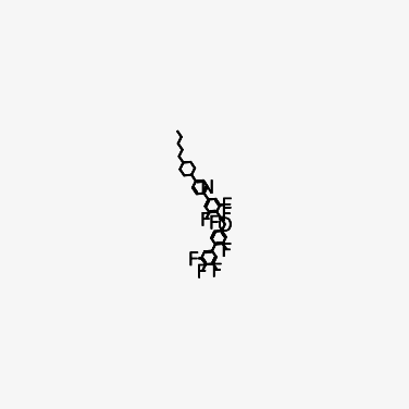 CCCCCC1CCC(c2ccc(-c3cc(F)c(C(F)(F)Oc4ccc(-c5cc(F)c(F)c(F)c5)c(F)c4)c(F)c3)nc2)CC1